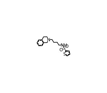 O=S(=O)(NCCCCN1CCc2ccccc2C1)c1cccs1